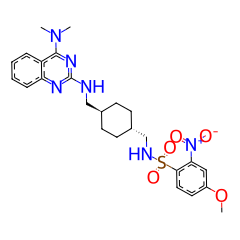 COc1ccc(S(=O)(=O)NC[C@H]2CC[C@H](CNc3nc(N(C)C)c4ccccc4n3)CC2)c([N+](=O)[O-])c1